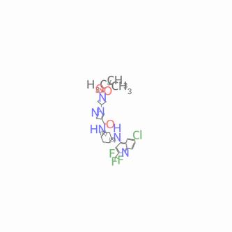 CC(C)(C)OC(=O)N1CC(n2cc(C(=O)N[C@@H]3CCC[C@H](Nc4cc(C(F)(F)F)nc5ccc(Cl)cc45)C3)cn2)C1